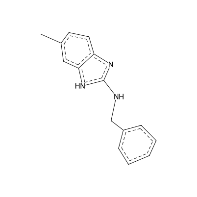 Cc1ccc2nc(NCc3ccccc3)[nH]c2c1